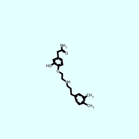 Cc1ccc(CCCNCCOc2ccc(CC(N)=O)cc2O)cc1C